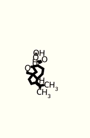 CC(C)=C1CCC23CO[C@H](C2)[C@H](C(=O)OO)CC[C@@H]13